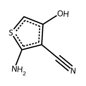 N#Cc1c(O)csc1N